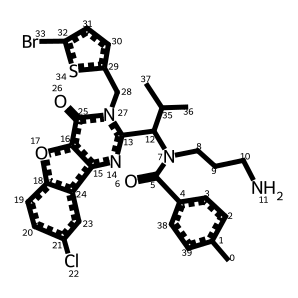 Cc1ccc(C(=O)N(CCCN)C(c2nc3c(oc4ccc(Cl)cc43)c(=O)n2Cc2ccc(Br)s2)C(C)C)cc1